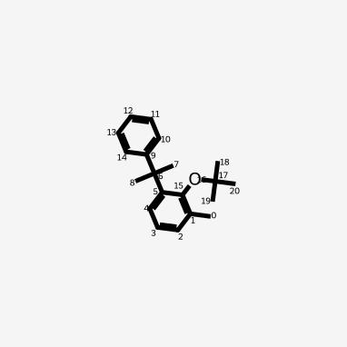 Cc1cccc(C(C)(C)c2ccccc2)c1OC(C)(C)C